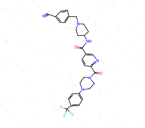 N#Cc1ccc(CN2CCC(NC(=O)c3ccc(C(=O)N4CCN(c5ccc(C(F)(F)F)cc5)CC4)nc3)CC2)cc1